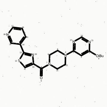 CC(C)COc1cc(N2CCN(C(=O)c3csc(-c4cccnc4)n3)CC2)ncn1